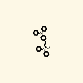 O=C(C=Cc1ccc(N(c2ccccc2)c2ccccc2)cc1)N(c1ccccc1)c1ccccc1